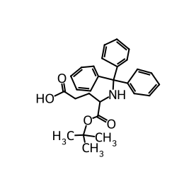 CC(C)(C)OC(=O)C(CCC(=O)O)NC(c1ccccc1)(c1ccccc1)c1ccccc1